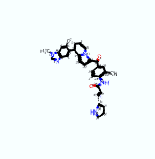 Cn1cnc2cc(-c3cccn4c(C(=O)c5ccc(NC(=O)/C=C/[C@@H]6CCCN6)c(C#N)c5)ccc34)c(C(F)(F)F)cc21